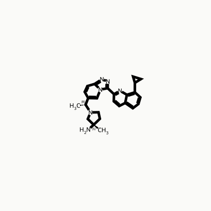 C[C@H](c1ccc2nnc(-c3ccc4cccc(C5CC5)c4n3)n2c1)N1CC[C@](C)(N)C1